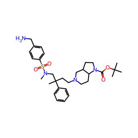 CN(CC(C)(CCN1CCC2C(CCN2C(=O)OC(C)(C)C)C1)c1ccccc1)S(=O)(=O)c1ccc(CN)cc1